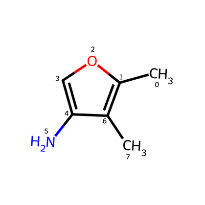 Cc1occ(N)c1C